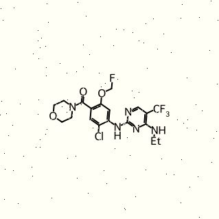 CCNc1nc(Nc2cc(OCF)c(C(=O)N3CCOCC3)cc2Cl)ncc1C(F)(F)F